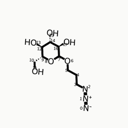 [N-]=[N+]=NCCCOC1O[C@H](CO)[C@@H](O)[C@H](O)[C@H]1O